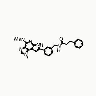 CNc1nc2[nH]c(-c3cccc(CNC(=O)CCc4ccccc4)c3)cc2c2c1ncn2C